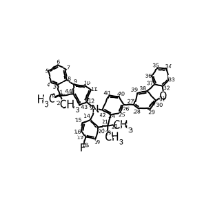 CC1(C)c2ccccc2-c2ccc(N3c4ccc(F)cc4C(C)(C)c4cc(-c5ccc6oc7ccccc7c6c5)ccc43)cc21